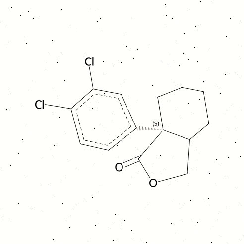 O=C1OCC2CCCC[C@]12c1ccc(Cl)c(Cl)c1